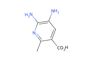 Cc1nc(N)c(N)cc1C(=O)O